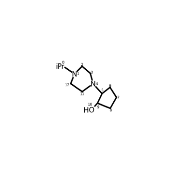 CC(C)N1CCN(C2CCCC2O)CC1